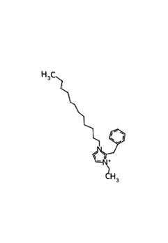 CCCCCCCCCCCCn1cc[n+](CC)c1Cc1ccccc1